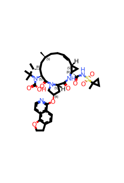 CC[C@@H]1C[C@@H](C)CCC=C[C@@H]2C[C@@]2(C(=O)NS(=O)(=O)C2(C)CC2)NC(=O)[C@@H]2C[C@@H](Oc3nccc4c5c(ccc34)CCO5)CN2C(=O)[C@H]1N(C(=O)O)C(C)(C)C